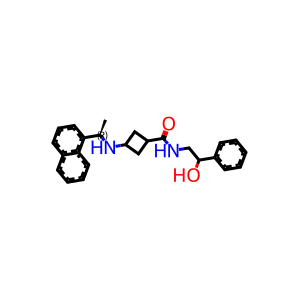 C[C@@H](NC1CC(C(=O)NCC(O)c2ccccc2)C1)c1cccc2ccccc12